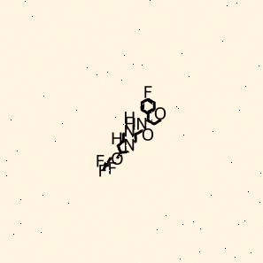 O=C(N[C@@H]1CCOc2cc(F)ccc21)C1CN2CC(OCC(F)(F)F)C[C@@H]2CN1